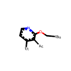 CCc1ccnc(OCC(C)(C)C)c1C(C)=O